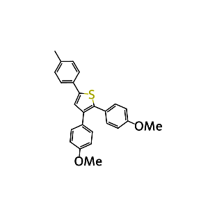 COc1ccc(-c2cc(-c3ccc(C)cc3)sc2-c2ccc(OC)cc2)cc1